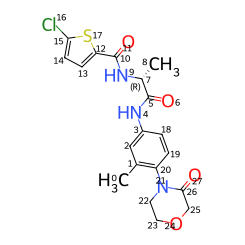 Cc1cc(NC(=O)[C@@H](C)NC(=O)c2ccc(Cl)s2)ccc1N1CCOCC1=O